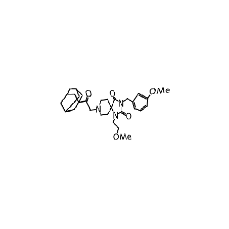 COCCN1C(=O)N(Cc2cccc(OC)c2)C(=O)C12CCN(CC(=O)C13CC4CC(CC(C4)C1)C3)CC2